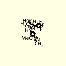 COc1cc(Nc2nc(-c3cc(F)c(F)c(F)c3)cc(C(C)(C)O)n2)ccc1-n1cnc(C)c1